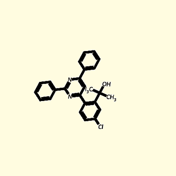 CC(C)(O)c1cc(Cl)ccc1-c1cc(-c2ccccc2)nc(-c2ccccc2)n1